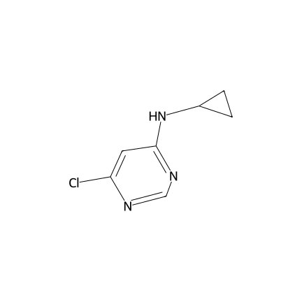 Clc1cc(NC2CC2)ncn1